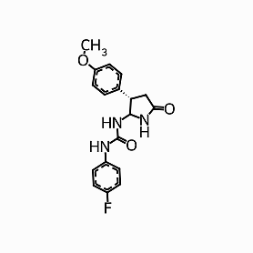 COc1ccc([C@@H]2CC(=O)NC2NC(=O)Nc2ccc(F)cc2)cc1